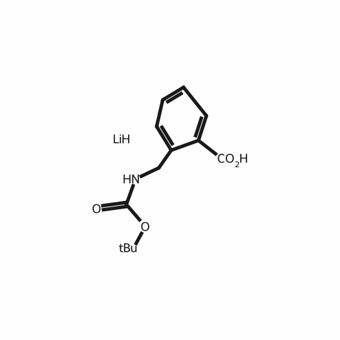 CC(C)(C)OC(=O)NCc1ccccc1C(=O)O.[LiH]